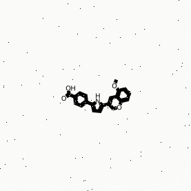 COc1cccc2c1C=C(c1ccc(-c3ccc(C(=O)O)cc3)[nH]1)CO2